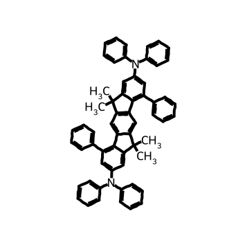 CC1(C)c2cc3c(cc2-c2c(-c4ccccc4)cc(N(c4ccccc4)c4ccccc4)cc21)C(C)(C)c1cc(N(c2ccccc2)c2ccccc2)cc(-c2ccccc2)c1-3